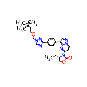 CC[C@H]1COC(=O)N1c1ccn2ncc(-c3ccc(-c4ncn(COCC[Si](C)(C)C)n4)cc3)c2n1